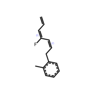 C=C/C=C(F)\C=C/Cc1ccccc1C